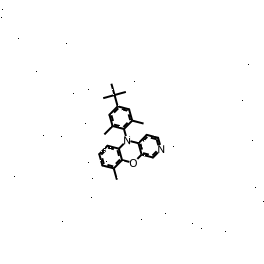 Cc1cccc2c1Oc1cnccc1N2c1c(C)cc(C(C)(C)C)cc1C